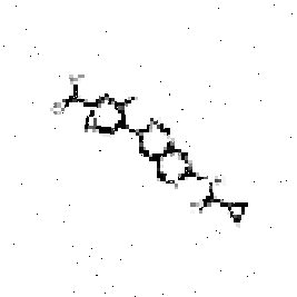 CCC(=O)c1cc(C)c(-c2cc3cnc(NC(=O)C4CC4)cc3cn2)cn1